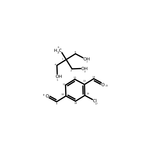 CC(CO)(CO)CO.O=Cc1ccc(C=O)c(Cl)c1